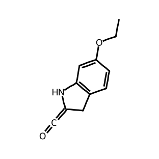 CCOc1ccc2c(c1)NC(=C=O)C2